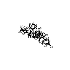 COc1ncnc(OC)c1-n1c(NS(=O)(=O)C(C)C(OC)c2ncc(C)cn2)nnc1C1CC2(CC2)C1